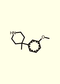 COc1cccc(C2(C)CCNCC2)c1